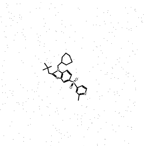 Cc1cc(S(=O)(=O)c2ccc3c(c2)nc(CC(C)(C)C)n3CC2CCCCC2)ccn1